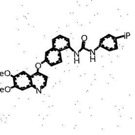 COc1cc2nccc(Oc3ccc4c(NC(=O)Nc5ccc(C(C)C)cc5)cccc4c3)c2cc1OC